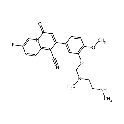 CNCCN(C)COc1cc(-c2cc(=O)n3cc(F)ccc3c2C#N)ccc1OC